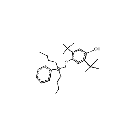 CCCC[Si](CCCC)(CSc1cc(C(C)(C)C)c(O)cc1C(C)(C)C)c1ccccc1